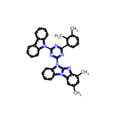 Cc1cc(C)c2nc3n(-c4nc(-c5cccc(C)c5C)nc(-n5c6ccccc6c6ccccc65)n4)c4ccccc4n3c2c1